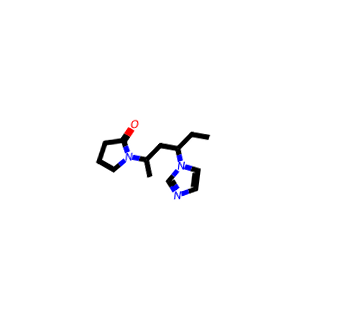 CCC(CC(C)N1CCCC1=O)n1ccnc1